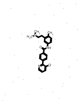 Cc1ccc(NC(=O)c2ccc(-c3ncccc3Cl)cc2)cc1CCN(C)C